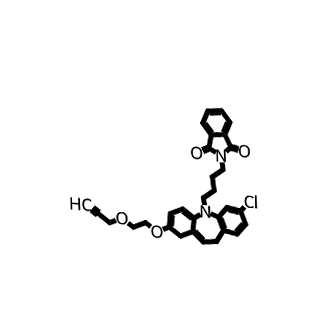 C#CCOCCOC1=CC=C2C(=CCc3ccc(Cl)cc3N2CCCCN2C(=O)c3ccccc3C2=O)C1